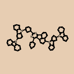 c1ccc(-c2nc(-c3cccc(-n4c5ccccc5c5cc(-n6c7ccccc7c7ccccc76)ccc54)c3)nc3c2-c2ccc(-n4c5ccccc5c5cc(-n6c7ccccc7c7ccccc76)ccc54)c4cccc-3c24)cc1